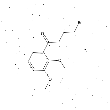 COc1cccc(C(=O)CCCBr)c1OC